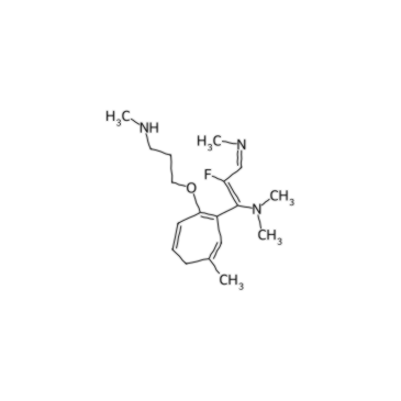 C/N=C\C(F)=C(\C1=C(OCCCNC)C=CCC(C)=C1)N(C)C